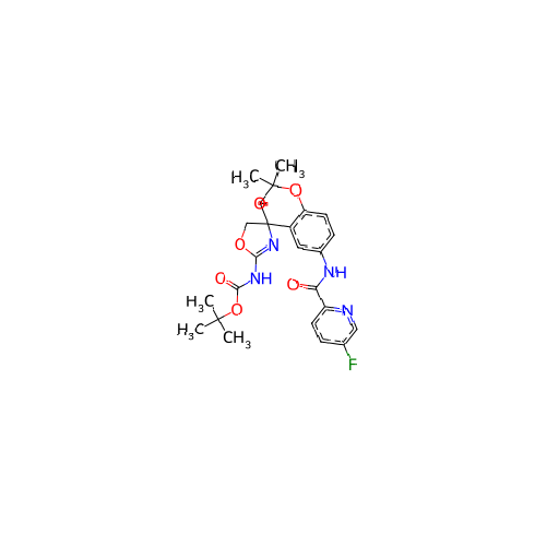 CC(C)(C)OC(=O)NC1=NC2(CO1)c1cc(NC(=O)c3ccc(F)cn3)ccc1OC(C)(C)C21COC1